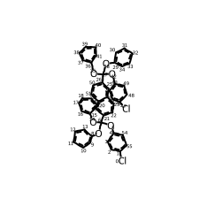 Clc1ccc(OC(Oc2ccccc2)(Oc2ccccc2)c2ccc3cc(C(Oc4ccccc4)(Oc4ccccc4)Oc4ccc(Cl)cc4)ccc3c2)cc1